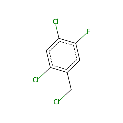 Fc1cc(CCl)c(Cl)cc1Cl